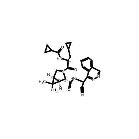 CC1(C)[C@@H]2[C@@H](C(=O)NC(C#N)c3nncc4ccccc34)N(C(=O)[C@H](CC3CC3)NC(=O)C3CC3)C[C@@H]21